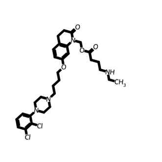 CCNCCCC(=O)OCN1C(=O)CCc2ccc(OCCCCN3CCN(c4cccc(Cl)c4Cl)CC3)cc21